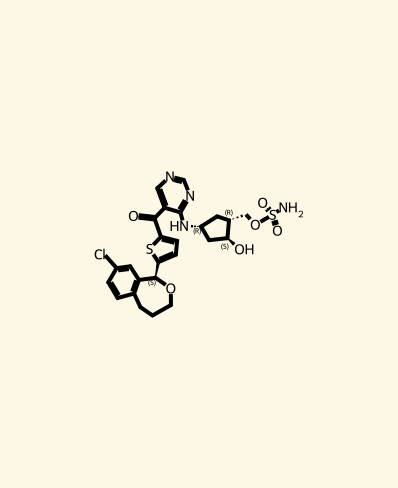 NS(=O)(=O)OC[C@H]1C[C@@H](Nc2ncncc2C(=O)c2ccc([C@H]3OCCCc4ccc(Cl)cc43)s2)C[C@@H]1O